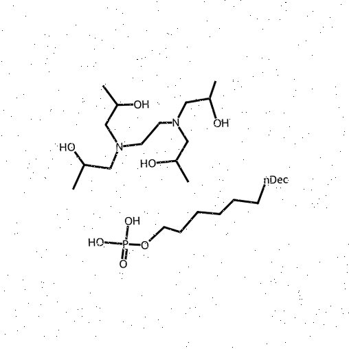 CC(O)CN(CCN(CC(C)O)CC(C)O)CC(C)O.CCCCCCCCCCCCCCCCOP(=O)(O)O